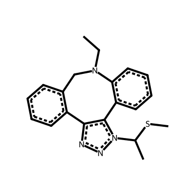 CCN1Cc2ccccc2-c2nnn(C(C)SC)c2-c2ccccc21